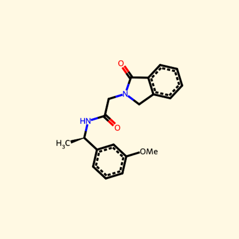 COc1cccc([C@@H](C)NC(=O)CN2Cc3ccccc3C2=O)c1